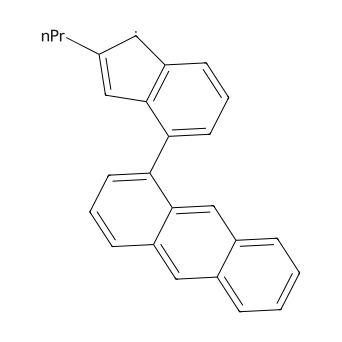 CCCC1=Cc2c(cccc2-c2cccc3cc4ccccc4cc23)[CH]1